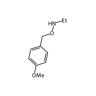 CCNOCc1ccc(OC)cc1